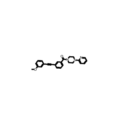 COc1cccc(C#Cc2cccc(C(=O)N3CCN(c4ccccn4)CC3)c2)c1